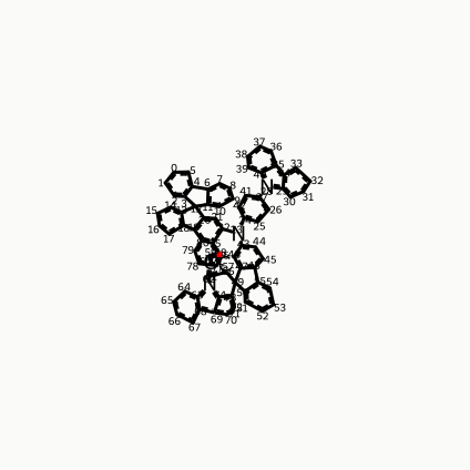 c1ccc2c(c1)-c1ccccc1C21c2ccccc2-c2c1cc(N(c1ccc(-n3c4ccccc4c4ccccc43)cc1)c1ccc3c(c1)C1(c4ccccc4-3)c3ccccc3-n3c4ccccc4c4cccc1c43)c1ccccc21